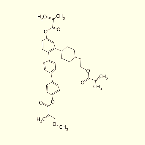 C=C(C)C(=O)OCCC1CCC(c2cc(OC(=O)C(=C)C)ccc2-c2ccc(-c3ccc(OC(=O)C(=C)COC)cc3)cc2)CC1